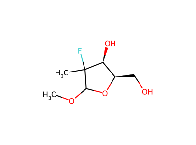 COC1O[C@H](CO)[C@H](O)C1(C)F